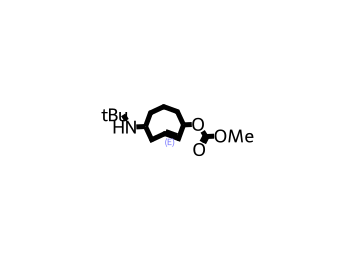 COC(=O)OC1/C=C/CC(NC(C)(C)C)CCC1